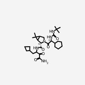 CC(C)(C)NC(=O)N[C@H](C(=O)N1CC2C([C@H]1C(=O)NC(CC1CCC1)C(=O)C(N)=O)C2(C)C)C1CCCCC1